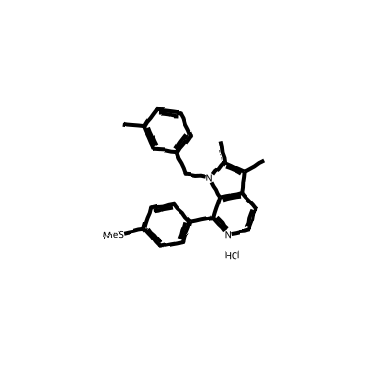 CSc1ccc(-c2nccc3c(C)c(C)n(Cc4cccc(C)c4)c23)cc1.Cl